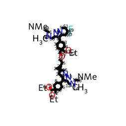 CCOCC1(COCC)CCC(c2c(CN(C)CCNC)nn3c2CC2(CC2CCOCC2(COCC)CCC(c4c(CN(C)CCNC)nn5c4CC(F)(F)CC5)CC2)C3)CC1